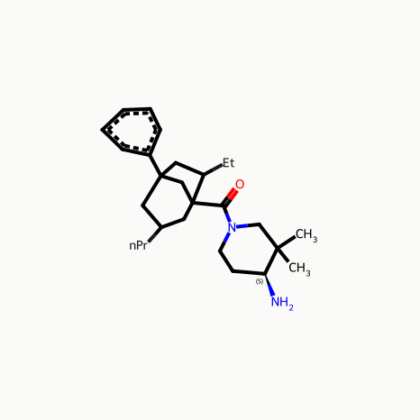 CCCC1CC2(c3ccccc3)CC(CC)C(C(=O)N3CC[C@H](N)C(C)(C)C3)(C1)C2